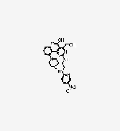 CCc1nc(NCCNc2ccc([N+](=O)[O-])cn2)nc(-c2ccccc2N2CCOCC2)c1C(=O)O